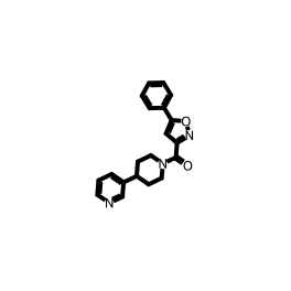 O=C(c1cc(-c2ccccc2)on1)N1CCC(c2cccnc2)CC1